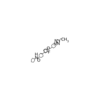 CCc1cnc(N2CCC(COc3ccc(C4=CCC(C(=O)NC5CCCCC5)CC4)cc3F)CC2)nc1